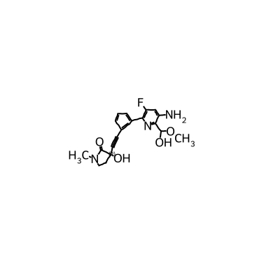 COC(O)c1nc(-c2cccc(C#C[C@]3(O)CCN(C)C3=O)c2)c(F)cc1N